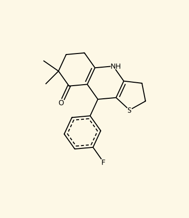 CC1(C)CCC2=C(C1=O)C(c1cccc(F)c1)C1=C(CCS1)N2